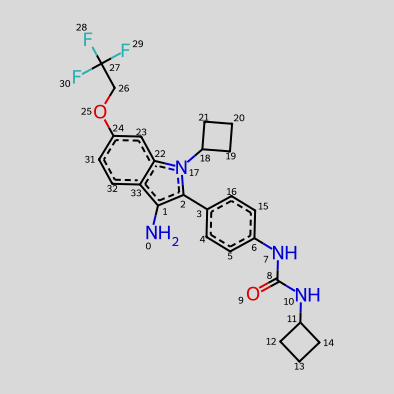 Nc1c(-c2ccc(NC(=O)NC3CCC3)cc2)n(C2CCC2)c2cc(OCC(F)(F)F)ccc12